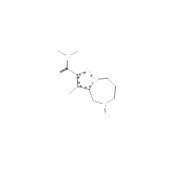 CCN1CCCn2nc(C(=O)N(C)C)c(C)c2C1